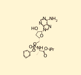 CC(C)OC(=O)[C@H](C)NP(=O)(OC[C@@H]1C[C@H](O)[C@H](n2cnc3c(N)ncnc32)O1)Oc1ccccc1